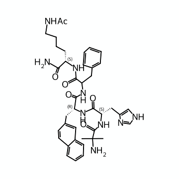 CC(=O)NCCCC[C@H](NC(=O)C(Cc1ccccc1)NC(=O)[C@@H](Cc1ccc2ccccc2c1)NC(=O)[C@H](Cc1c[nH]cn1)NC(=O)C(C)(C)N)C(N)=O